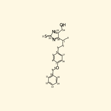 CC(CCc1ccc(OCc2ccccc2)cc1)C1=NC(=S)N=C1CO